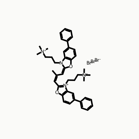 CC(=Cc1oc2ccc(-c3ccccc3)cc2[n+]1CCC[N+](C)(C)C)C=C1Oc2ccc(-c3ccccc3)cc2N1CCC[N+](C)(C)C.[Br-].[Br-].[Br-]